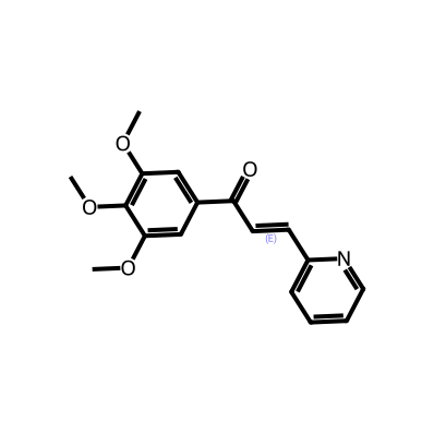 COc1cc(C(=O)/C=C/c2ccccn2)cc(OC)c1OC